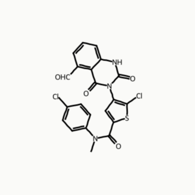 CN(C(=O)c1cc(-n2c(=O)[nH]c3cccc(C=O)c3c2=O)c(Cl)s1)c1ccc(Cl)cc1